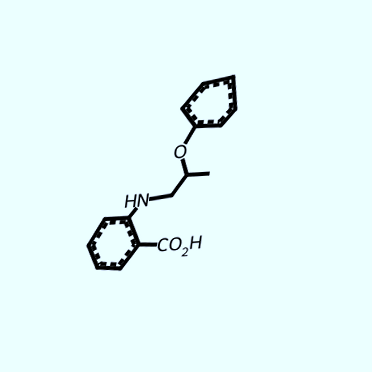 CC(CNc1ccccc1C(=O)O)Oc1ccccc1